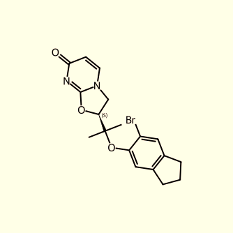 CC(C)(Oc1cc2c(cc1Br)CCC2)[C@@H]1Cn2ccc(=O)nc2O1